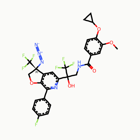 COc1cc(C(=O)NCC(O)(c2cc3c(c(-c4ccc(F)cc4)n2)OC[C@@]3(N=[N+]=[N-])C(F)(F)F)C(F)(F)F)ccc1OC1CC1